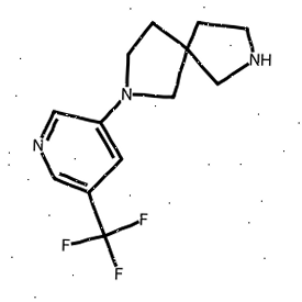 FC(F)(F)c1cncc(N2CCC3(CCNC3)C2)c1